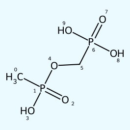 CP(=O)(O)OCP(=O)(O)O